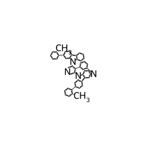 Cc1ccccc1-c1ccc2c3ccccc3n(-c3cncc(-n4c5ccccc5c5ccc(-c6ccccc6C)cc54)c3-c3cccc(C#N)c3)c2c1